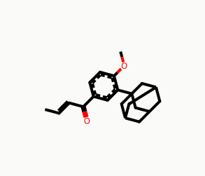 C/C=C/C(=O)c1ccc(OC)c(C23CC4CC(CC(C4)C2)C3)c1